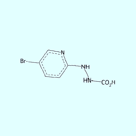 O=C(O)NNc1ccc(Br)cn1